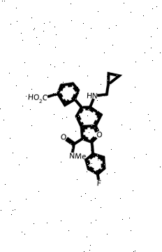 CNC(=O)c1c(-c2ccc(F)cc2)oc2cc(NCC3CC3)c(-c3cccc(C(=O)O)c3)cc12